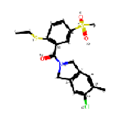 CCSc1ccc(S(C)(=O)=O)cc1C(=O)N1Cc2cc(C)c(Cl)cc2C1